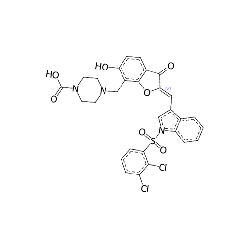 O=C1/C(=C/c2cn(S(=O)(=O)c3cccc(Cl)c3Cl)c3ccccc23)Oc2c1ccc(O)c2CN1CCN(C(=O)O)CC1